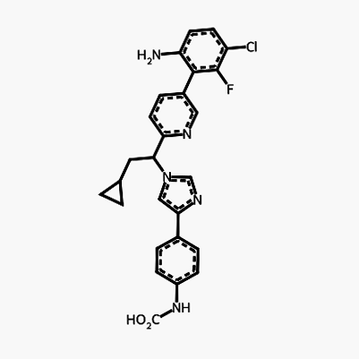 Nc1ccc(Cl)c(F)c1-c1ccc(C(CC2CC2)n2cnc(-c3ccc(NC(=O)O)cc3)c2)nc1